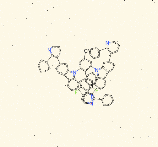 N#Cc1cc(-n2c3cc(-c4cccnc4-c4ccccc4)ccc3c3ccc(-c4cccnc4-c4ccccc4)cc32)c(-c2cc(F)cc(F)c2)c(-n2c3cc(-c4cccnc4-c4ccccc4)ccc3c3ccc(-c4cccnc4-c4ccccc4)cc32)c1